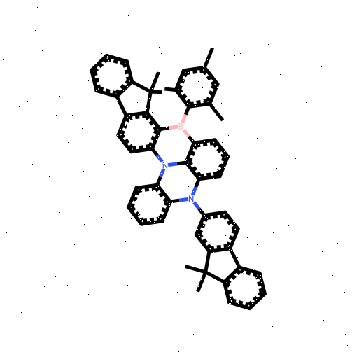 Cc1cc(C)c(B2c3cccc4c3N(c3ccccc3N4c3ccc4c(c3)C(C)(C)c3ccccc3-4)c3ccc4c(c32)C(C)(C)c2ccccc2-4)c(C)c1